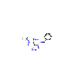 CNc1ncn(Cc2ccccc2)c2ncnc1-2